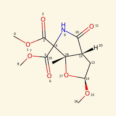 COC(=O)C1(C(=O)OC)NC(=O)[C@@H]2C[C@@H](OC)O[C@@]21C